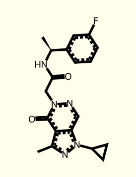 Cc1nn(C2CC2)c2cnn(CC(=O)N[C@@H](C)c3cccc(F)c3)c(=O)c12